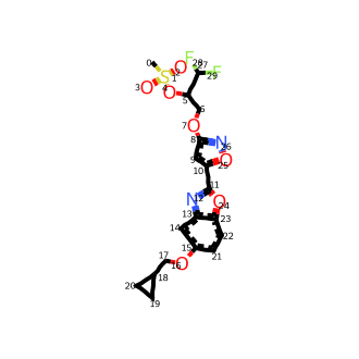 CS(=O)(=O)OC(COc1cc(-c2nc3cc(OCC4CC4)ccc3o2)on1)C(F)F